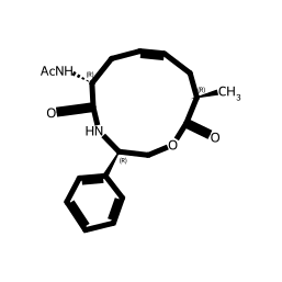 CC(=O)N[C@@H]1CC=CC[C@@H](C)C(=O)OC[C@@H](c2ccccc2)NC1=O